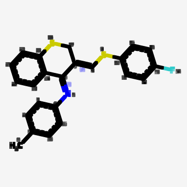 Cc1ccc(/N=C2/C(=C/Sc3ccc(F)cc3)CSc3ccccc32)cc1